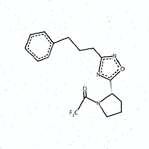 O=C(N1CCC[C@H]1c1nc(CCCc2ccccc2)no1)C(F)(F)F